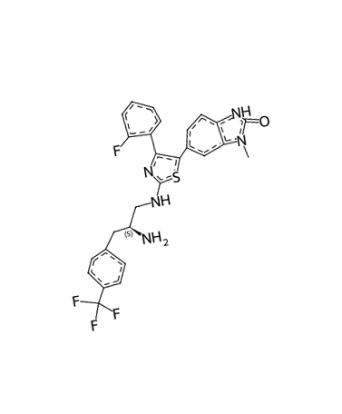 Cn1c(=O)[nH]c2ccc(-c3sc(NC[C@@H](N)Cc4ccc(C(F)(F)F)cc4)nc3-c3ccccc3F)cc21